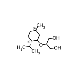 CC(C)[C@@H]1CC[C@@H](C)CC1OC(CO)CO